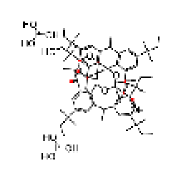 CCC(C)(C)c1cc2c(c(C(C)(C)CC)c1)C1OC(C(C)(C)CO)(OC3(c4c(cc(C(C)(C)CC)cc4C(C)(C)CC)C(C)c4cc(C(C)(C)CC)cc(C(C)(C)CC)c43)C13COC(C(C)(C)CO)OC3)c1c(cc(C(C)(C)CC)cc1C(C)(C)CC)C2C.OP(O)O.OP(O)O